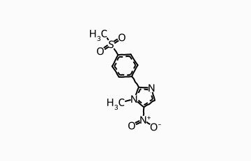 Cn1c([N+](=O)[O-])cnc1-c1ccc(S(C)(=O)=O)cc1